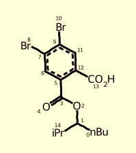 CCCCC(OC(=O)c1cc(Br)c(Br)cc1C(=O)O)C(C)C